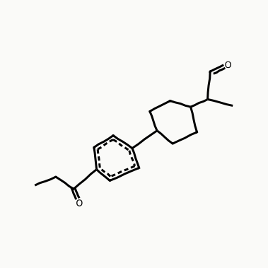 CCC(=O)c1ccc(C2CCC(C(C)C=O)CC2)cc1